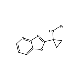 CC(C)NC1(c2nc3ncccc3o2)CC1